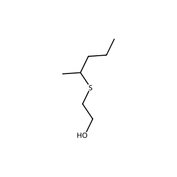 CCCC(C)SCCO